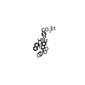 CCOC(=O)N1CCN(CNc2c(F)cc3c(=O)c(C(=O)N4CCOCC4)cn4c3c2Oc2ccc3ccccc3c2-4)CC1